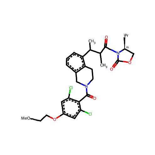 COCCOc1cc(Cl)c(C(=O)N2CCc3c(cccc3C(C)C(C)C(=O)N3C(=O)OC[C@@H]3C(C)C)C2)c(Cl)c1